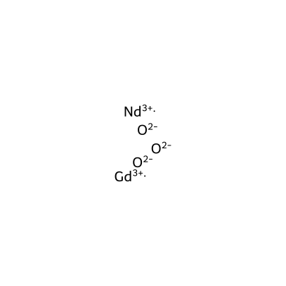 [Gd+3].[Nd+3].[O-2].[O-2].[O-2]